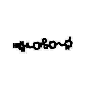 Cc1ccnc(CCc2ccc(OC(=O)N3CCC(CSc4nc[nH]n4)CC3)cc2)c1